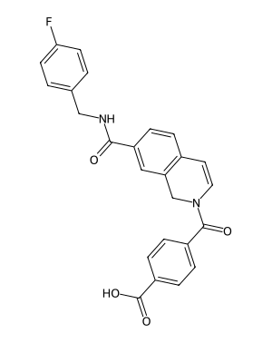 O=C(O)c1ccc(C(=O)N2C=Cc3ccc(C(=O)NCc4ccc(F)cc4)cc3C2)cc1